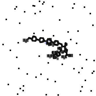 C=C(/N=C\C(=C/C)C1=CCC(C2CCC(CC)CC2)CC1)c1ccc(CC(NC(=O)c2ccc(C(C)(C)C)s2)C(=O)N2CC(C(=C)O)C2)cc1